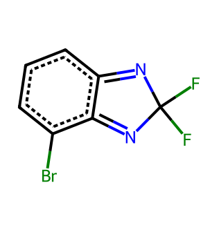 FC1(F)N=c2cccc(Br)c2=N1